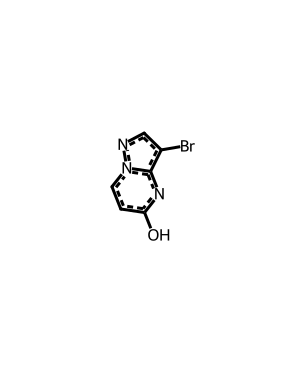 Oc1ccn2ncc(Br)c2n1